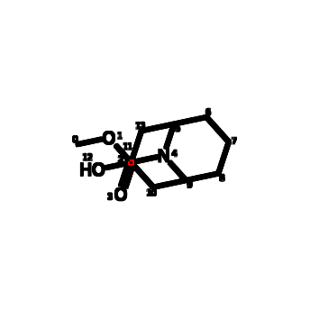 COC(=O)N1C2CCCC1CC(O)C2